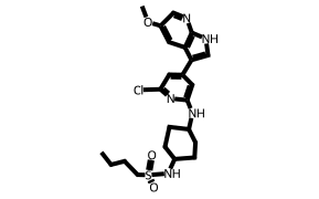 CCCCS(=O)(=O)NC1CCC(Nc2cc(-c3c[nH]c4ncc(OC)cc34)cc(Cl)n2)CC1